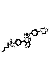 CCCCNS(=O)(=O)c1ccc(-c2nc(Nc3ccc(N4CCOCC4)cc3)nc3ccsc23)cc1